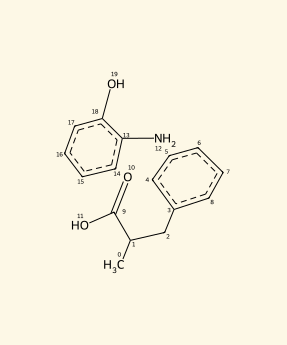 CC(Cc1ccccc1)C(=O)O.Nc1ccccc1O